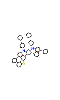 c1ccc(-c2ccc(N(c3ccc(-c4ccccc4)cc3)c3cc(N(c4ccc(-c5ccccc5)cc4)c4ccc(-c5ccccc5)cc4)c(-c4ccc5c(c4)sc4ccccc45)cc3-c3ccccc3)cc2)cc1